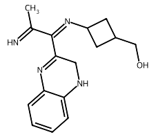 CC(=N)/C(=N/C1CC(CO)C1)C1=Nc2ccccc2NC1